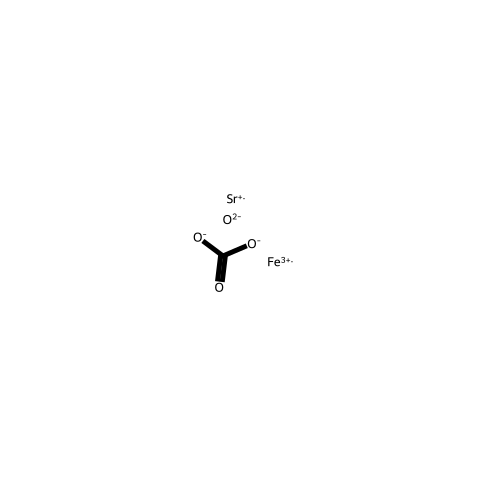 O=C([O-])[O-].[Fe+3].[O-2].[Sr+]